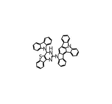 c1ccc2c3c(sc2c1)C(n1c2ccccc2c2ccccc21)NC(n1c2ccccc2c2c4c5ccccc5n5c6ccccc6c(cc21)c45)=N3